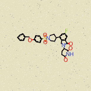 O=C1CCC(N2Cc3c(cc(F)cc3C3CCN(S(=O)(=O)c4ccc(OCc5ccccc5)cc4)CC3)C2=O)C(=O)N1